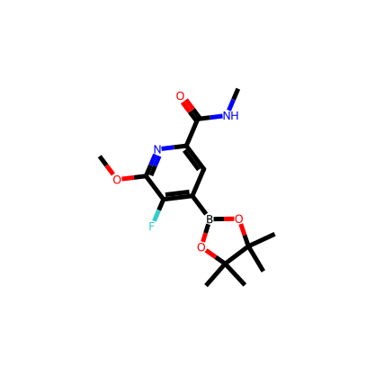 CNC(=O)c1cc(B2OC(C)(C)C(C)(C)O2)c(F)c(OC)n1